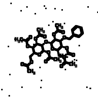 CC(=O)OC[C@@H]1O[C@H](OC(C)=O)[C@@H](O[C@H]2O[C@H](COC(C)=O)[C@@H](OC(C)=O)[C@H](OCc3ccccc3)[C@@H]2OC(C)=O)[C@@H](OC(C)=O)[C@@H]1OC(C)=O